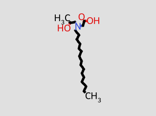 CCCCCCCCCCCCCCCCN(CC(=O)O)CC(C)O